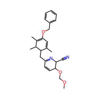 COCOC1C=CC(CC2C(C)=CC(OCc3ccccc3)=C(C)C2C)=NC1C#N